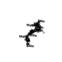 COc1ccc(C2=CN3C(=O)c4cc(OC)c(OCCCOc5cc6c(cc5OC)CN5C=C(c7ccc(NC(=O)[C@H](C)NC(=O)[C@@H](NC(=O)c8cc(NC(=O)CCSC)nc(NC(=O)CCSC)c8)C(C)C)cc7)C[C@H]5C=N6)cc4N=C[C@@H]3C2)cc1